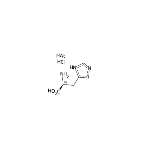 Cl.N[C@@H](Cc1cnc[nH]1)C(=O)O.[AtH]